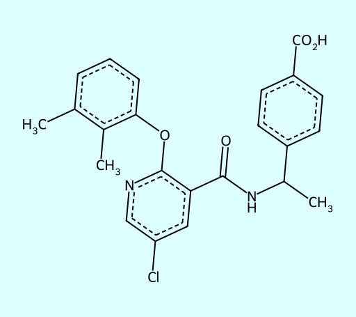 Cc1cccc(Oc2ncc(Cl)cc2C(=O)NC(C)c2ccc(C(=O)O)cc2)c1C